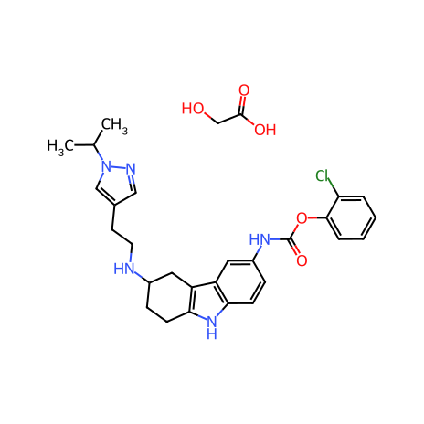 CC(C)n1cc(CCNC2CCc3[nH]c4ccc(NC(=O)Oc5ccccc5Cl)cc4c3C2)cn1.O=C(O)CO